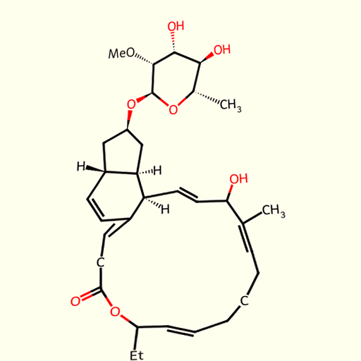 CCC1/C=C/CCC/C=C(/C)C(O)/C=C/[C@H]2/C(=C/CC(=O)O1)C=C[C@@H]1C[C@@H](O[C@@H]3O[C@@H](C)[C@H](O)[C@@H](O)[C@H]3OC)C[C@H]12